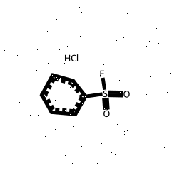 Cl.O=S(=O)(F)c1ccccc1